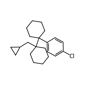 Clc1ccc(C2(C3(CC4CC4)CCCCC3)CCCCC2)cc1